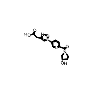 O=C(O)Cc1cn(-c2ccc(C(=O)N3CC[C@H](O)C3)cc2)nn1